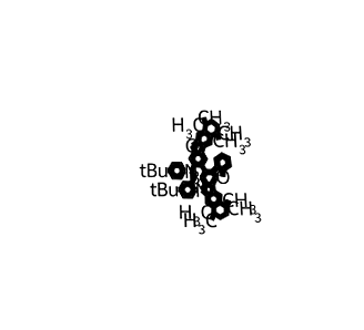 CC(C)(C)c1ccc(N2B3c4cc(C(C)(C)C)ccc4-n4c5cc6c(cc5c5c7oc8ccccc8c7c(c3c54)-c3cc4c(cc32)oc2cc3c(cc24)C(C)(C)CCC3(C)C)C(C)(C)CCC6(C)C)cc1